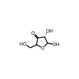 O=C1C(CO)OC(O)[C@H]1O